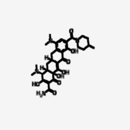 CC1CCN(C(=O)c2cc(N(C)C)c3c(c2O)C(=O)C2=C(O)[C@]4(O)C(=O)C(C(N)=O)=C(O)[C@@H](N(C)C)[C@@H]4C[C@@H]2C3)CC1